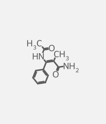 CC(=O)NC(=C(C)C(N)=O)c1ccccc1